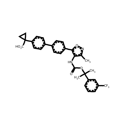 Cc1noc(-c2ccc(-c3ccc(C4(C(=O)O)CC4)cc3)cc2)c1NC(=O)OC(C)(C)c1cccc(C(F)(F)F)c1